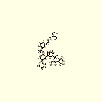 O=C(O)CCSCc1cccc(C(=O)Nc2ccc(N3CCCCC3)cc2-c2cc(C(=O)N3CCCC3c3ccccc3)ccn2)c1